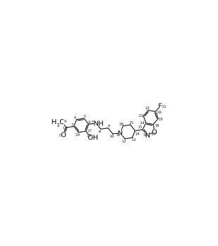 CC(=O)c1ccc(NCCCN2CCC(c3noc4cc(F)ccc34)CC2)c(O)c1